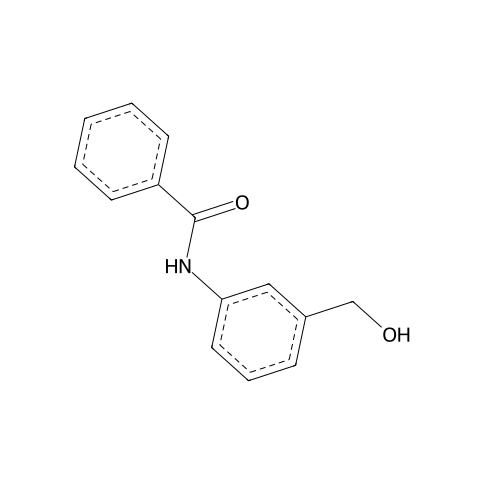 O=C(Nc1cccc(CO)c1)c1ccccc1